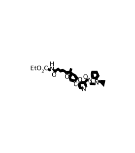 CCOC(=O)CNC(=O)C/C=C/c1oc2cc(Cl)c(Oc3ccncc3C(=O)N3CCN(C4CC4)c4ccccc43)cc2c1C